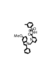 COc1ccc2c(c1)cc(-c1ccccc1)n2Cc1cccc(C(=O)NS(=O)(=O)c2cccc(C)c2)n1